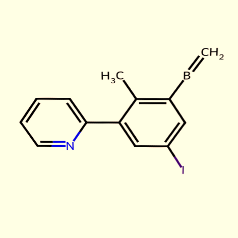 C=Bc1cc(I)cc(-c2ccccn2)c1C